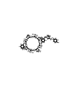 Cc1ccc(OCc2cn(Cc3ccc(C[C@H]4OC(=O)[C@H](CC(C)C)N(C)C(=O)[C@@H](C)OC(=O)[C@H](CC(C)C)N(C)C(=O)[C@@H](Cc5ccccc5)OC(=O)[C@H](CC(C)C)N(C)C(=O)[C@@H](C)OC(=O)[C@H](CC(C)C)N(C)C4=O)cc3)nn2)cc1